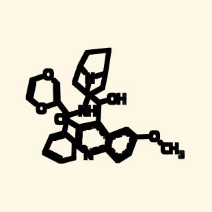 COc1ccc2ncc(Cl)c(C(O)CN3C4CCC3CC(NC(C3=CC=CCC3)C3=COC=CO3)C4)c2c1